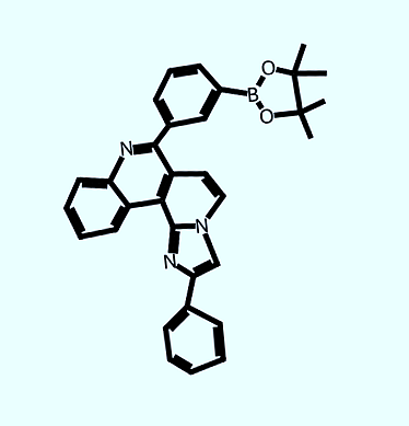 CC1(C)OB(c2cccc(-c3nc4ccccc4c4c3ccn3cc(-c5ccccc5)nc43)c2)OC1(C)C